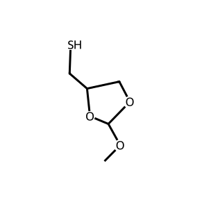 COC1OCC(CS)O1